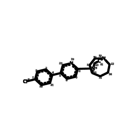 Clc1ccc(-c2ccc(N3CCN4CCCC3CC4)nc2)cc1